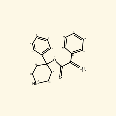 C=C(C(=O)OC1(c2ccccc2)CCNCC1)c1ccccc1